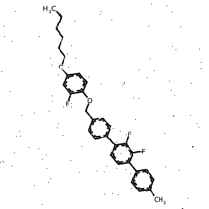 CCCCCCOc1ccc(OCc2ccc(-c3ccc(-c4ccc(C)cc4)c(F)c3F)cc2)c(F)c1